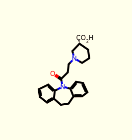 O=C(O)[C@@H]1CCCN(CCC(=O)N2c3ccccc3CCc3ccccc32)C1